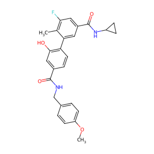 COc1ccc(CNC(=O)c2ccc(-c3cc(C(=O)NC4CC4)cc(F)c3C)c(O)c2)cc1